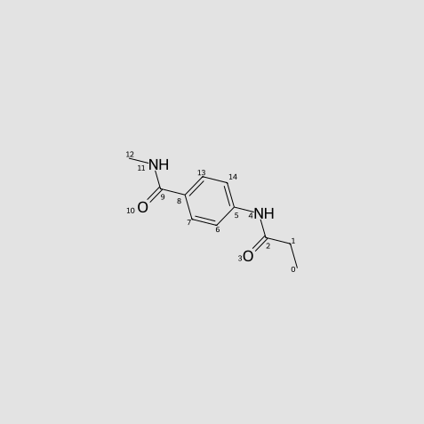 CCC(=O)Nc1ccc(C(=O)NC)cc1